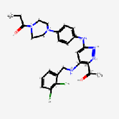 CCC(=O)N1CCN(c2ccc(Nc3cc(NCc4cccc(F)c4F)c(C(C)=O)nn3)cc2)CC1